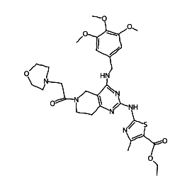 CCOC(=O)c1sc(Nc2nc3c(c(NCc4cc(OC)c(OC)c(OC)c4)n2)CN(C(=O)CN2CCOCC2)CC3)nc1C